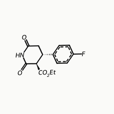 CCOC(=O)[C@H]1C(=O)NC(=O)C[C@@H]1c1ccc(F)cc1